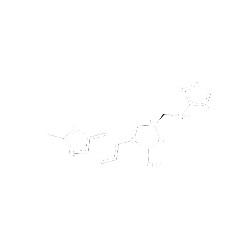 Cc1nc2ccc(N3C[C@@H](CNc4nccs4)OC3C=O)cc2s1